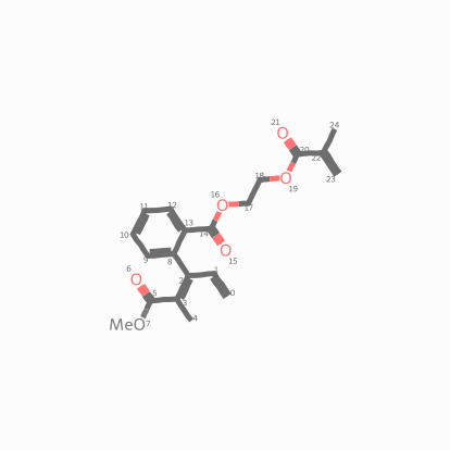 C=C/C(=C(\C)C(=O)OC)c1ccccc1C(=O)OCCOC(=O)C(=C)C